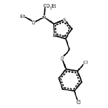 CCOC(=O)N(OCC)c1nc(COc2ccc(Cl)cc2Cl)cs1